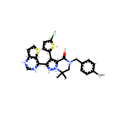 COc1ccc(CN2CC(C)(C)n3nc(-c4ncnc5ccsc45)c(-c4ccc(Cl)s4)c3C2=O)cc1